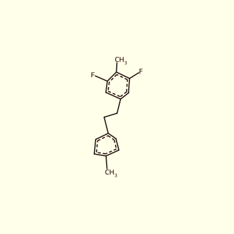 Cc1ccc(CCc2cc(F)c(C)c(F)c2)cc1